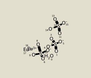 O.O=S(=O)([O-])[O-].O=S(=O)([O-])[O-].O=S(=O)([O-])[O-].[Eu+3].[Eu+3]